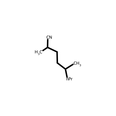 [CH2]CCC(C)CCC(C)C#N